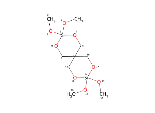 CO[Si]1(OC)OCC2(CO1)CO[Si](OC)(OC)OC2